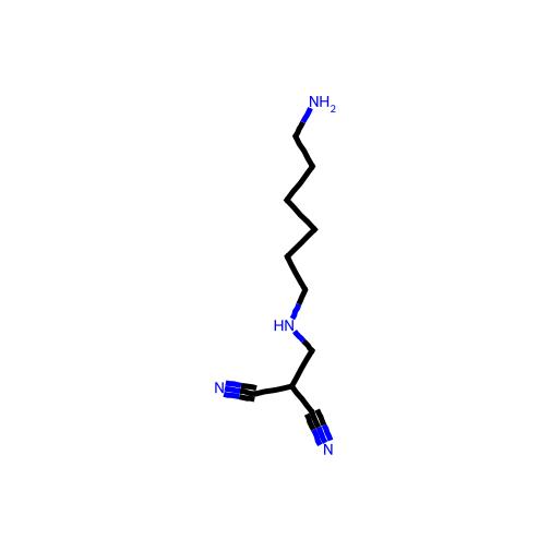 N#CC(C#N)CNCCCCCCN